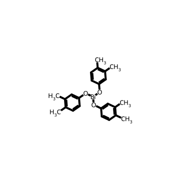 Cc1ccc([O][Bi]([O]c2ccc(C)c(C)c2)[O]c2ccc(C)c(C)c2)cc1C